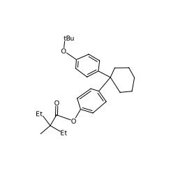 CCC(C)(CC)C(=O)Oc1ccc(C2(c3ccc(OC(C)(C)C)cc3)CCCCC2)cc1